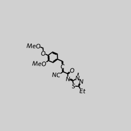 CCc1nn(C)/c(=N\C(=O)C(=C=Cc2ccc(OCOC)c(OC)c2)C#N)s1